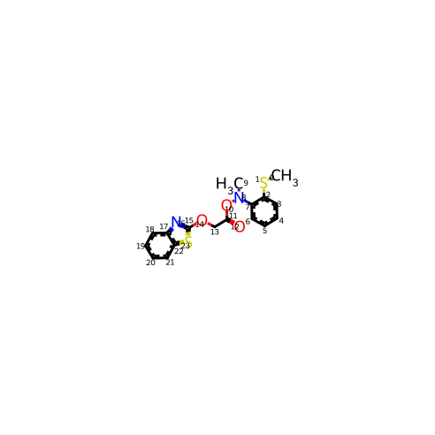 CSc1ccccc1N(C)OC(=O)COc1nc2ccccc2s1